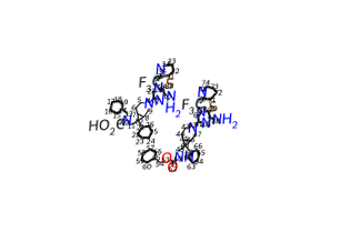 Nc1nc(N2CCC3C(C2)C3(CN(Cc2ccccc2)C(=O)O)c2ccccc2)cnc1Sc1cccnc1C(F)(F)F.Nc1nc(N2CCC3C(C2)C3(CNC(=O)OCc2ccccc2)c2ccccc2)cnc1Sc1cccnc1C(F)(F)F